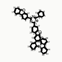 c1ccc(-c2nc(-c3ccc4c(c3)oc3ccccc34)nc(-c3ccc4c(c3)oc3ccc(-c5ccccc5-n5c6ccccc6c6ccccc65)cc34)n2)cc1